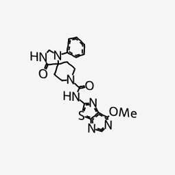 COc1ncnc2sc(NC(=O)N3CCC4(CC3)C(=O)NCN4c3ccccc3)nc12